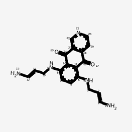 NC=CCNc1ccc(NCC=CN)c2c1C(=O)c1ccncc1C2=O